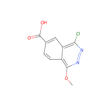 COc1nnc(Cl)c2cc(C(=O)O)ccc12